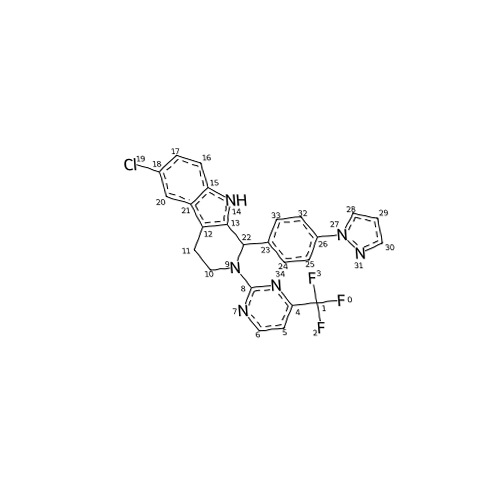 FC(F)(F)c1ccnc(N2CCc3c([nH]c4ccc(Cl)cc34)C2c2ccc(-n3cccn3)cc2)n1